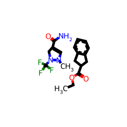 CCOC(=O)C1Cc2ccccc2C1.CN1C=C(C(N)=O)CN1C(F)(F)F